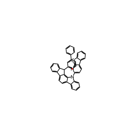 c1ccc(-c2cccc(C3c4ccccc4-c4ccc5c6ccccc6n(-c6ccc7c(n6)oc6ccccc67)c5c43)c2)cc1